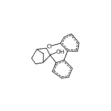 OC1(c2ccccc2-c2ccccc2Cl)CC2CCC1C2